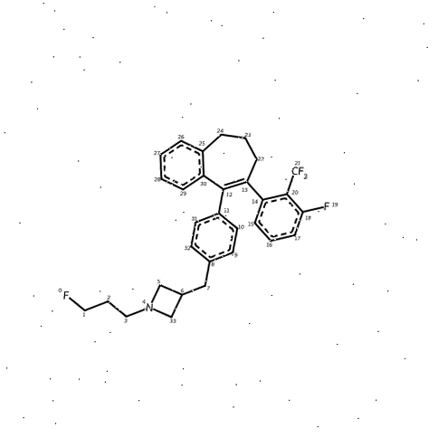 FCCCN1CC(Cc2ccc(C3=C(c4cccc(F)c4C(F)(F)F)CCCc4ccccc43)cc2)C1